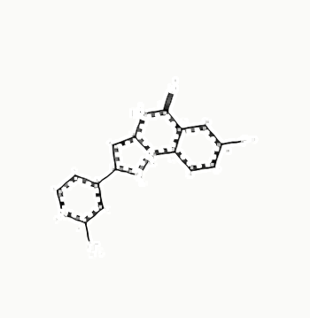 O=c1[nH]c2cc(-c3ccnc(C(F)(F)F)c3)nn2c2ccc(F)cc12